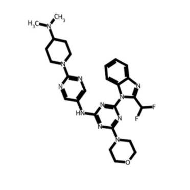 CN(C)C1CCN(c2ncc(Nc3nc(N4CCOCC4)nc(-n4c(C(F)F)nc5ccccc54)n3)cn2)CC1